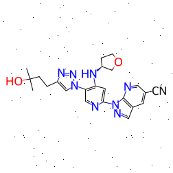 CC(C)(O)CCc1cn(-c2cnc(-n3ncc4cc(C#N)cnc43)cc2N[C@H]2CCOC2)nn1